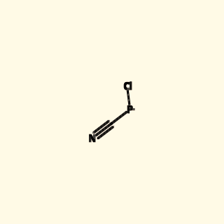 N#C[P]Cl